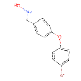 ONCc1ccc(Oc2ccc(Br)cc2)cc1